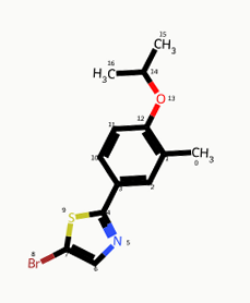 Cc1cc(-c2ncc(Br)s2)ccc1OC(C)C